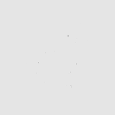 CC(C)C1(C)/C=C\C(C)(C(C)C)/C=C2/C=CC(C)(S(=O)(=O)O)C=C/C2=C/1